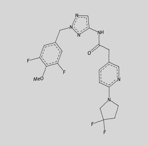 COc1c(F)cc(Cn2ncc(NC(=O)Cc3ccc(N4CCC(F)(F)C4)nc3)n2)cc1F